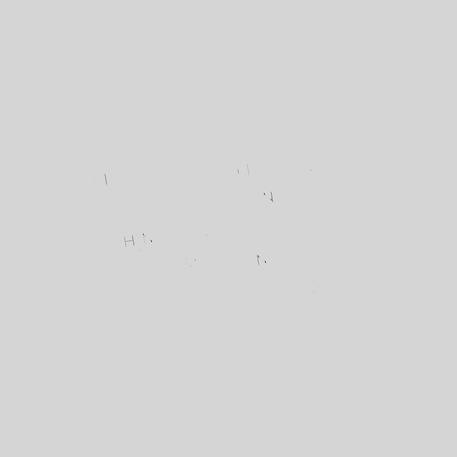 COc1cc(OC)nc(C(=O)c2c(Cl)ccc(Cl)c2N)n1